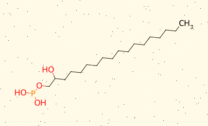 CCCCCCCCCCCCCCCCC(O)COP(O)O